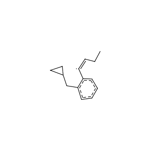 CC/C=[C]\c1ccccc1CC1CC1